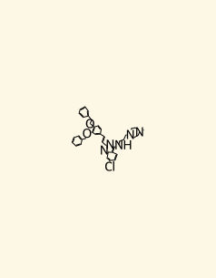 CN1CCN(CCCNc2nc(/C=C/c3ccc(OCc4ccccc4)c(OCc4ccccc4)c3)nc3cc(Cl)ccc23)CC1